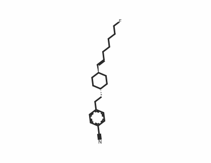 N#Cc1ccc(CC[C@H]2CC[C@H](C=CCCCCCF)CC2)cc1